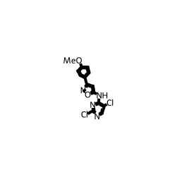 COc1ccc(-c2cc(Nc3nc(Cl)ncc3Cl)on2)cc1